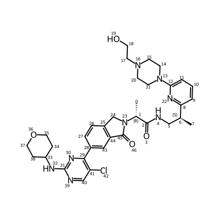 C[C@H](C(=O)NC[C@H](C)c1cccc(N2CCN(CCO)CC2)n1)N1Cc2ccc(-c3nc(NC4CCOCC4)ncc3Cl)cc2C1=O